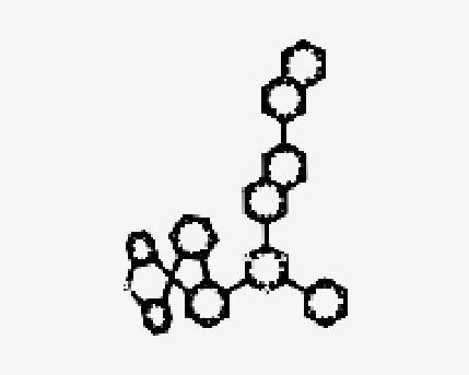 c1ccc(-c2nc(-c3ccc4cc(-c5ccc6ccccc6c5)ccc4c3)nc(-c3cccc4c3-c3ccccc3C43c4ccccc4Oc4ccccc43)n2)cc1